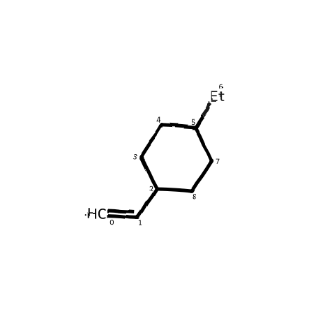 [CH]=CC1CCC(CC)CC1